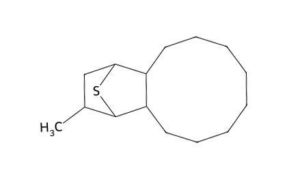 CC1CC2SC1C1CCCCCCCCC21